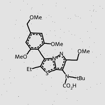 CCc1sc2c(N(C(=O)O)C(C)(C)C)c(COC)nn2c1-c1c(OC)cc(COC)cc1OC